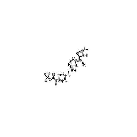 CCC1=CSC(=C(C#N)c2ccnc(NCCc3ccc(NC(=O)OC(C)(C)C)nc3)n2)N1